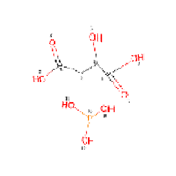 O=C(O)CC(O)C(=O)O.OP(O)O